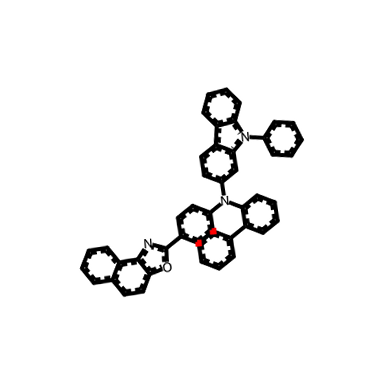 c1ccc(-c2ccccc2N(c2ccc(-c3nc4c(ccc5ccccc54)o3)cc2)c2ccc3c4ccccc4n(-c4ccccc4)c3c2)cc1